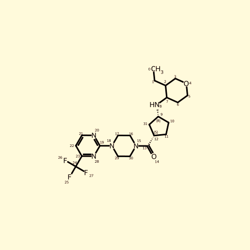 CCC1COCCC1N[C@@H]1CC[C@H](C(=O)N2CCN(c3nccc(C(F)(F)F)n3)CC2)C1